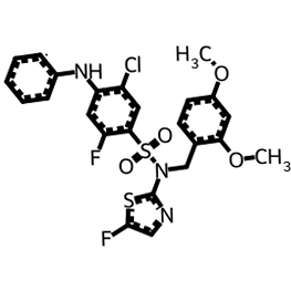 COc1ccc(CN(c2ncc(F)s2)S(=O)(=O)c2cc(Cl)c(Nc3[c]cccc3)cc2F)c(OC)c1